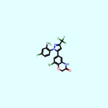 Cc1cc(F)ccc1-n1nc(C(F)(F)F)cc1-c1cc(Br)c2c(c1)NC(=O)CO2